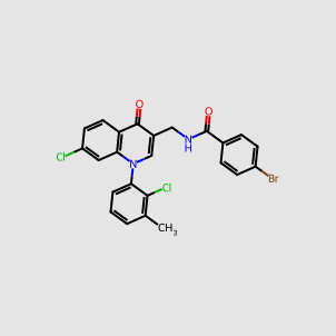 Cc1cccc(-n2cc(CNC(=O)c3ccc(Br)cc3)c(=O)c3ccc(Cl)cc32)c1Cl